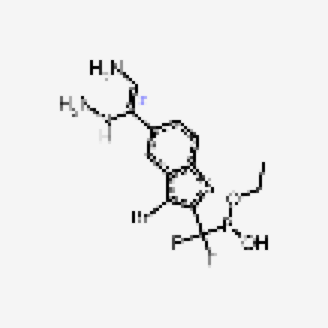 CCOP(O)C(F)(F)c1sc2ccc(/C(=C/N)NN)cc2c1Br